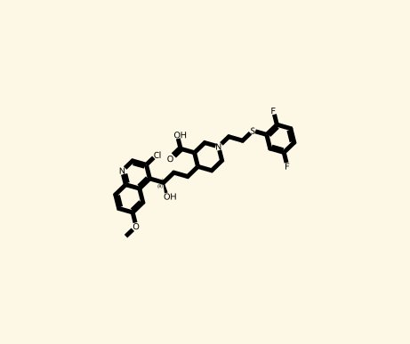 COc1ccc2ncc(Cl)c([C@H](O)CCC3CCN(CCSc4cc(F)ccc4F)CC3C(=O)O)c2c1